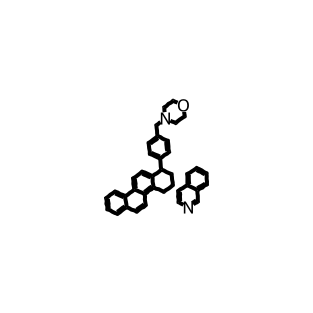 c1ccc2c(c1)ccc1c3c(ccc12)C(c1ccc(CN2CCOCC2)cc1)CCC3.c1ccc2cnccc2c1